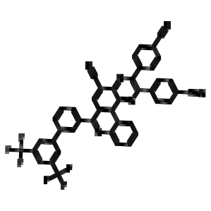 N#Cc1ccc(-c2nc3c(C#N)cc4c(-c5cccc(-c6cc(C(F)(F)F)cc(C(F)(F)F)c6)c5)nc5ccccc5c4c3nc2-c2ccc(C#N)cc2)cc1